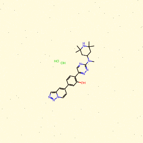 CN(c1ncc(-c2ccc(-c3ccn4nncc4c3)cc2O)nn1)C1CC(C)(C)NC(C)(C)C1.Cl.Cl